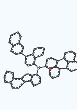 c1ccc(-c2cccc3cccc(-c4ccc(N(c5ccc(-c6ccc7ccccc7c6)c6ccccc56)c5cccc6c5sc5c7ccccc7ccc65)cc4)c23)cc1